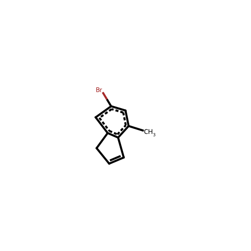 Cc1cc(Br)cc2c1C=CC2